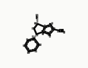 Cc1nc2n(n1)[C@H](c1ccccc1)C[C@@H]2F